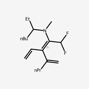 C=C/C(C(=C)CCC)=C(/C(F)F)N(C)C(CC)CCCC